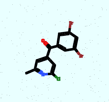 Cc1cc(C(=O)c2cc(Br)cc(Br)c2)cc(Cl)n1